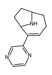 C1=C(c2cnccn2)C2CCC(CC1)N2